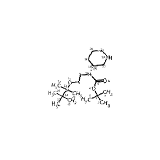 CC(C)(C)OC(=O)N(CCO[Si](C)(C)C(C)(C)C)[C@@H]1CCCNC1